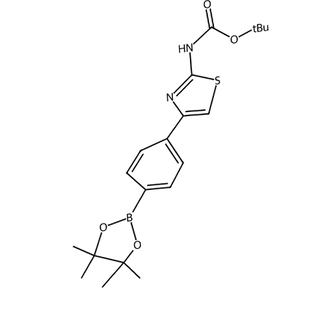 CC(C)(C)OC(=O)Nc1nc(-c2ccc(B3OC(C)(C)C(C)(C)O3)cc2)cs1